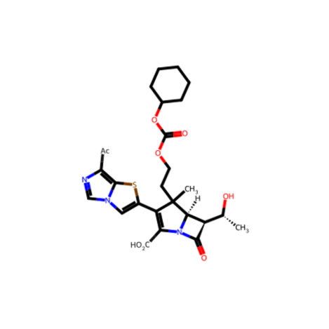 CC(=O)c1ncn2cc(C3=C(C(=O)O)N4C(=O)[C@H]([C@@H](C)O)[C@@H]4C3(C)CCOC(=O)OC3CCCCC3)sc12